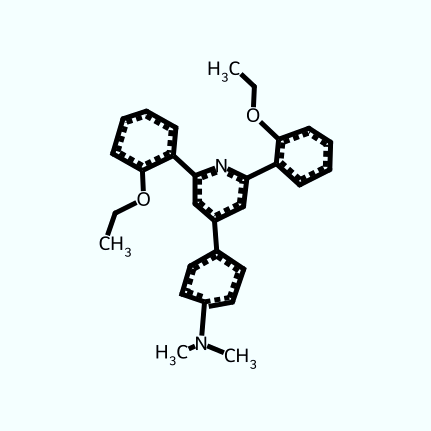 CCOc1ccccc1-c1cc(-c2ccc(N(C)C)cc2)cc(-c2ccccc2OCC)n1